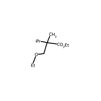 CCOCC(C)(C(=O)OCC)C(C)C